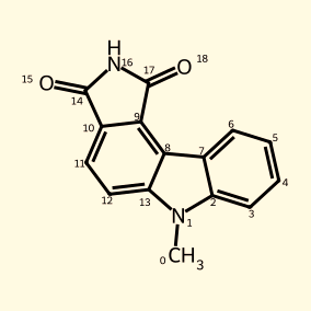 Cn1c2ccccc2c2c3c(ccc21)C(=O)NC3=O